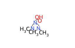 CCN1CCN(CC(=O)O)CCN(C(C)C)CC1